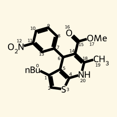 CCCCc1csc2c1C(c1cccc([N+](=O)[O-])c1)C(C(=O)OC)=C(C)N2